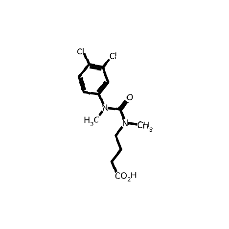 CN(CCCC(=O)O)C(=O)N(C)c1ccc(Cl)c(Cl)c1